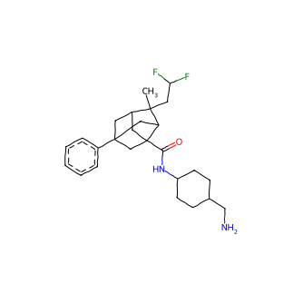 CC1(CC(F)F)C2CC3(c4ccccc4)CC1C(C(=O)NC1CCC(CN)CC1)(C2)C3